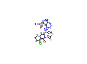 C[C@H](Nc1ncnc2[nH]nc(C(N)=O)c12)c1cc2cccc(Cl)c2c(=O)n1C1CC1